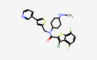 CNC1CCC(N(Cc2cc(-c3cccnc3)cs2)C(=O)c2sc3c(F)ccc(F)c3c2Cl)CC1